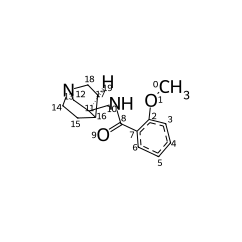 COc1ccccc1C(=O)N[C@@H]1CN2CCC1CC2